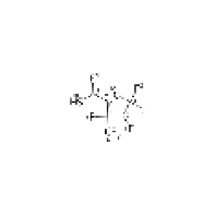 CC(F)(C(F)C(F)(CC(F)S)C(F)(F)F)C(F)(F)F